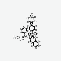 CN(C(=O)O)c1ccccc1.CN1CCN(c2ccc(S(=O)(=O)N3CCc4ccccc4C3)cc2)CC1